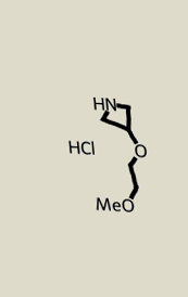 COCCOC1CNC1.Cl